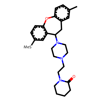 CSc1ccc2c(c1)C(N1CCN(CCN3CCCCC3=O)CC1)Cc1cc(C)ccc1O2